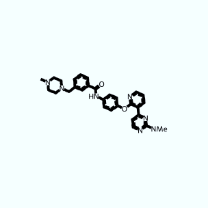 CNc1nccc(-c2cccnc2Oc2ccc(NC(=O)c3cccc(CN4CCN(C)CC4)c3)cc2)n1